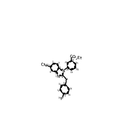 [C-]#[N+]c1ccc2c(c1)nc(Cc1ccc(F)cc1)n2-c1cccc(C(=O)OCC)c1